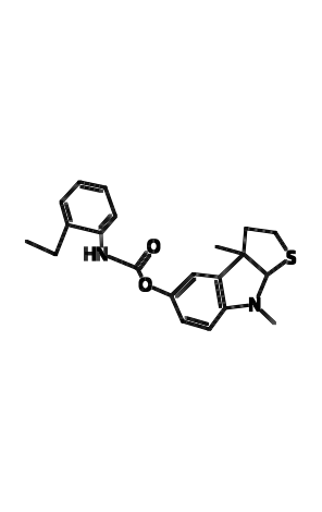 CCc1ccccc1NC(=O)Oc1ccc2c(c1)C1(C)CCSC1N2C